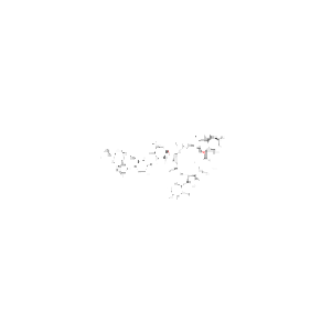 COC[C@@H]1NC(=O)[C@H](C)N(Cc2ccc(Cl)cc2Oc2ccc(-c3cnc(CN(C)C)n3C)cc2)C(=O)C[C@@H]([C@@H]2CCc3ccccc32)C(=O)N2CCC[C@@](Cc3ccc(Cl)cc3)(C2)NC1=O